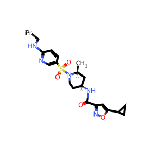 CC(C)CNc1ccc(S(=O)(=O)N2CC[C@H](NC(=O)c3cc(C4CC4)on3)C[C@@H]2C)cn1